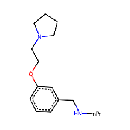 CCCNCc1cccc(OCCN2CCCC2)c1